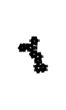 c1ccc(C2=NC(c3ccc4c(ccc5sc(-c6cccc7ccccc67)nc54)c3)NC(c3ccccc3)N2)cc1